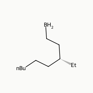 BCC[C@H](CC)CCCCCC